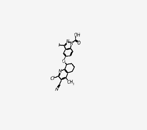 Cc1c(C#N)c(Cl)nc2c1CCCC2Oc1ccc2c(c1)c(I)nn2C(=O)O